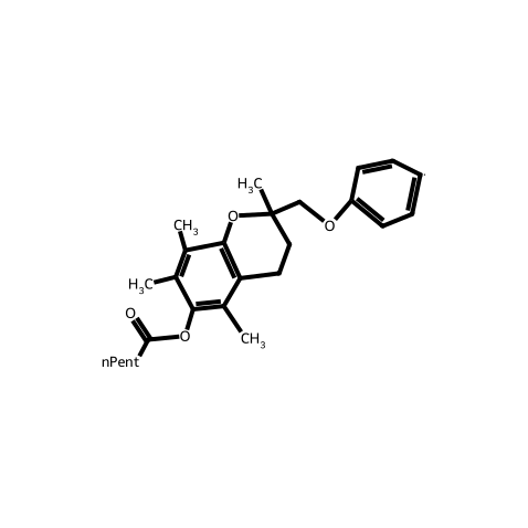 CCCCCC(=O)Oc1c(C)c(C)c2c(c1C)CCC(C)(COc1cc[c]cc1)O2